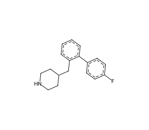 Fc1ccc(-c2ccccc2CC2CCNCC2)cc1